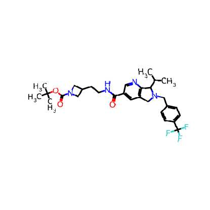 CC(C)C1c2ncc(C(=O)NCCC3CN(C(=O)OC(C)(C)C)C3)cc2CN1Cc1ccc(C(F)(F)F)cc1